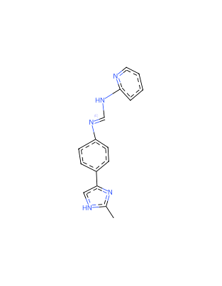 Cc1nc(-c2ccc(/N=C/Nc3ccccn3)cc2)c[nH]1